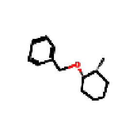 C[C@@H]1CCCC[C@@H]1OCc1ccccc1